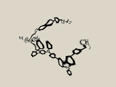 C=Cc1ccc(-c2ccc3cc(OCC[Si](C)(C)CCCC4(c5ccccc5)c5ccccc5-c5ccc(N(c6ccccc6)c6ccc(-c7ccc8c(c7)c7cc(-c9ccc(C=C)cc9)ccc7n8-c7ccccc7)cc6)cc54)ccc3c2)cc1